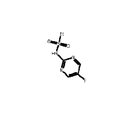 CCS(=O)(=O)Nc1ncc(F)cn1